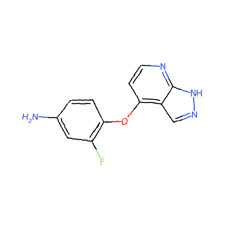 Nc1ccc(Oc2ccnc3[nH]ncc23)c(F)c1